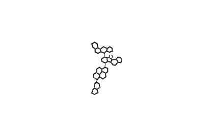 c1ccc2cc(-c3ccc4ccc5c(-c6ccc(-c7c8ccccc8cc8c7ccc7ccccc78)c7oc8c9ccccc9ccc8c67)ccc6ccc3c4c65)ccc2c1